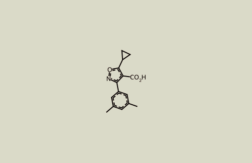 Cc1cc(C)cc(-c2noc(C3CC3)c2C(=O)O)c1